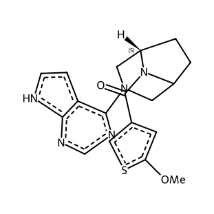 COc1cc(C(=O)N2C3CC[C@H]2CN(c2ncnc4[nH]ccc24)C3)cs1